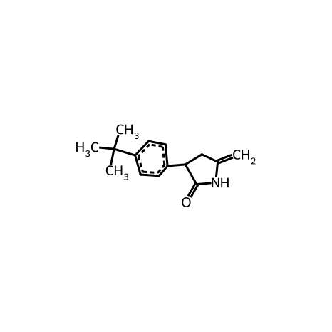 C=C1CC(c2ccc(C(C)(C)C)cc2)C(=O)N1